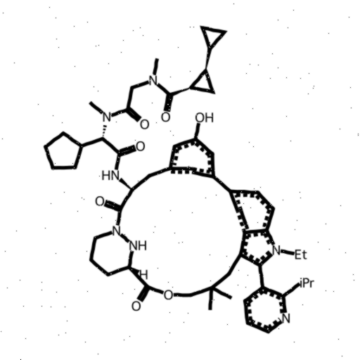 CCn1c(-c2cccnc2C(C)C)c2c3cc(ccc31)-c1cc(O)cc(c1)C[C@H](NC(=O)[C@H](C1CCCC1)N(C)C(=O)CN(C)C(=O)[C@@H]1C[C@@H]1C1CC1)C(=O)N1CCC[C@H](N1)C(=O)OCC(C)(C)C2